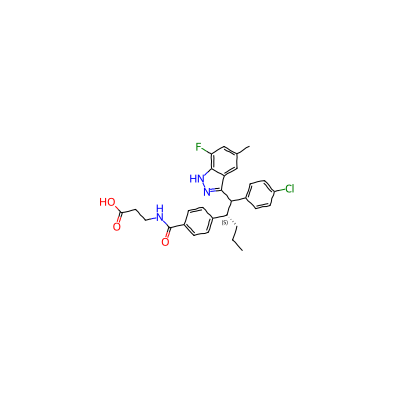 CCC[C@H](c1ccc(C(=O)NCCC(=O)O)cc1)C(c1ccc(Cl)cc1)c1n[nH]c2c(F)cc(C)cc12